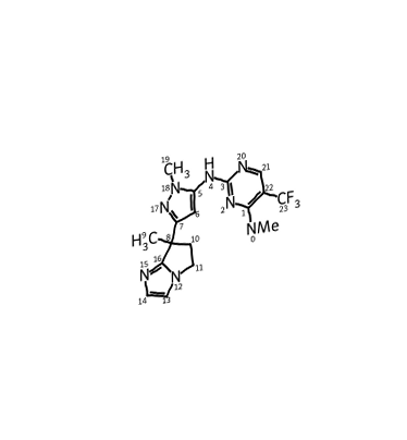 CNc1nc(Nc2cc(C3(C)CCn4ccnc43)nn2C)ncc1C(F)(F)F